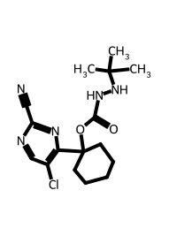 CC(C)(C)NNC(=O)OC1(c2nc(C#N)ncc2Cl)CCCCC1